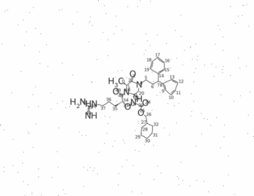 C[C@H]1C(=O)N(CCC(c2ccccc2)c2ccccc2)C[C@@H]2N(C(=O)OCC3CCCCC3)O[C@@H](CCCNC(=N)N)C(=O)N21